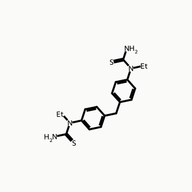 CCN(C(N)=S)c1ccc(Cc2ccc(N(CC)C(N)=S)cc2)cc1